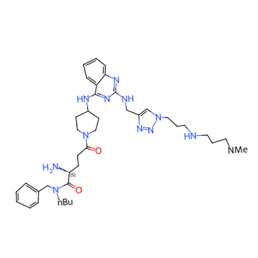 CCCCN(Cc1ccccc1)C(=O)[C@@H](N)CCC(=O)N1CCC(Nc2nc(NCc3cn(CCCNCCCNC)nn3)nc3ccccc23)CC1